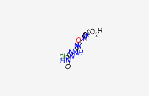 O=C(O)N1CC2CCC1CN2C(=O)Cn1cc(Nc2ncc(Cl)c(NCc3ccccc3)n2)cn1